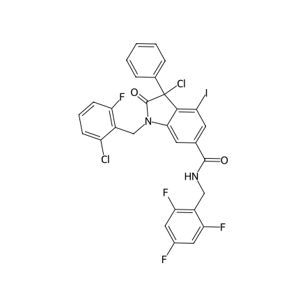 O=C(NCc1c(F)cc(F)cc1F)c1cc(I)c2c(c1)N(Cc1c(F)cccc1Cl)C(=O)C2(Cl)c1ccccc1